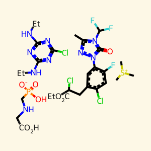 CCNc1nc(Cl)nc(NCC)n1.CCOC(=O)C(Cl)Cc1cc(-n2nc(C)n(C(F)F)c2=O)c(F)cc1Cl.C[S+](C)C.O=C(O)CNCP(=O)([O-])O